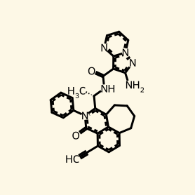 C#Cc1ccc2c3c(c([C@H](C)NC(=O)c4c(N)nn5cccnc45)n(-c4ccccc4)c(=O)c13)CCCC2